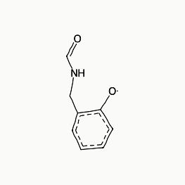 [O]c1ccccc1CNC=O